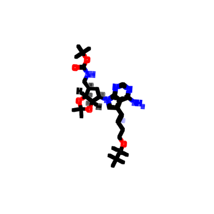 CC(C)(C)OC(=O)NC[C@H]1C[C@@H](n2cc(/C=C/CCO[Si](C)(C)C(C)(C)C)c3c(N)ncnc32)[C@@H]2OC(C)(C)O[C@H]12